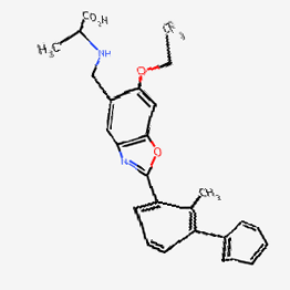 Cc1c(-c2ccccc2)cccc1-c1nc2cc(CNC(C)C(=O)O)c(OCC(F)(F)F)cc2o1